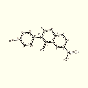 O=c1c2cc([N+](=O)[O-])ccc2cnn1-c1ccc(F)cc1